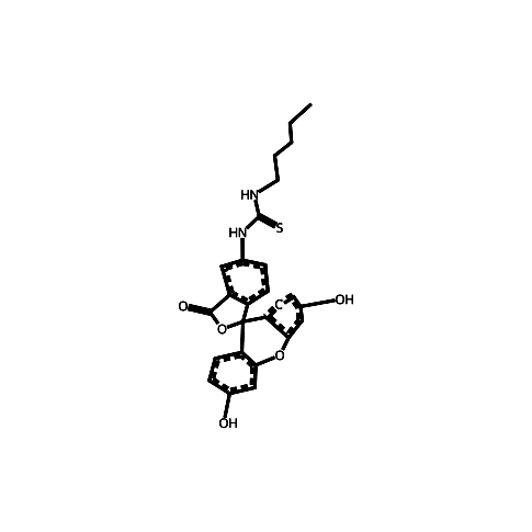 CCCCCNC(=S)Nc1ccc2c(c1)C(=O)OC21c2ccc(O)cc2Oc2cc(O)ccc21